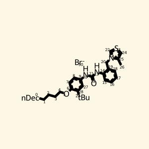 CCCCCCCCCCCCCCOc1ccc(NC(=O)Nc2ccccc2C[n+]2cscc2C)cc1C(C)(C)C.[Br-]